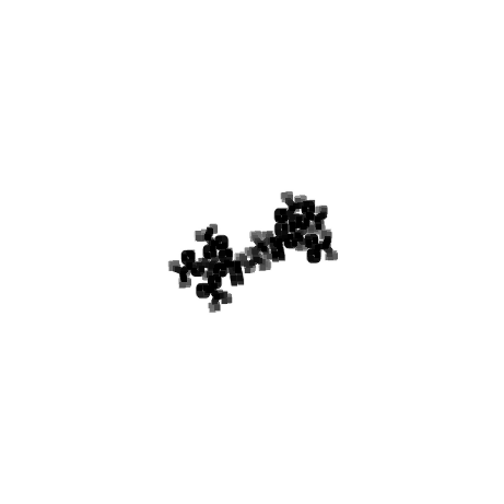 C=C(C)C(=O)OCC(COC(=O)C(=C)C)(COC(=O)C(=C)C)OC(=O)NCCC(C)CC(C)(C)CNC(=O)OC(COC(=O)C(=C)C)(COC(=O)C(=C)C)COC(=O)C(=C)C